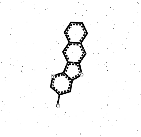 Clc1cnc2c(c1)oc1cc3ccccc3cc12